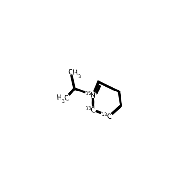 CC(C)[15N+]1=CCC[13CH2][13CH2]1